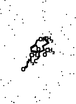 C=CCCCCC.C=O.CCCC=O.OCc1ccco1